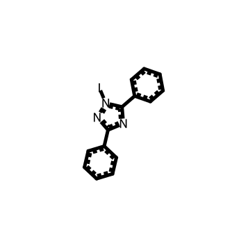 In1nc(-c2ccccc2)nc1-c1ccccc1